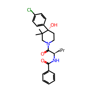 CC(C)[C@@H](NC(=O)c1ccccc1)C(=O)N1CC[C@](O)(c2ccc(Cl)cc2)C(C)(C)C1